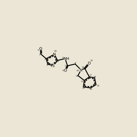 O=Cc1csc(NC(=O)CN2Cc3ccccc3C2=O)n1